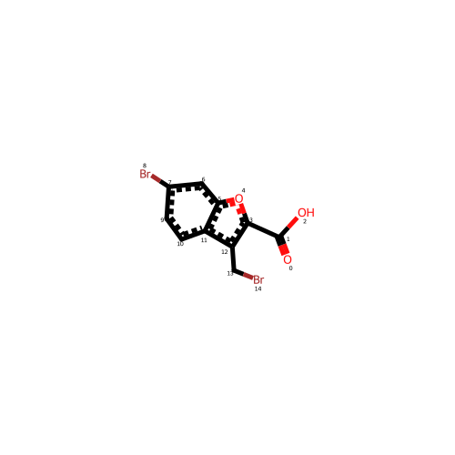 O=C(O)c1oc2cc(Br)ccc2c1CBr